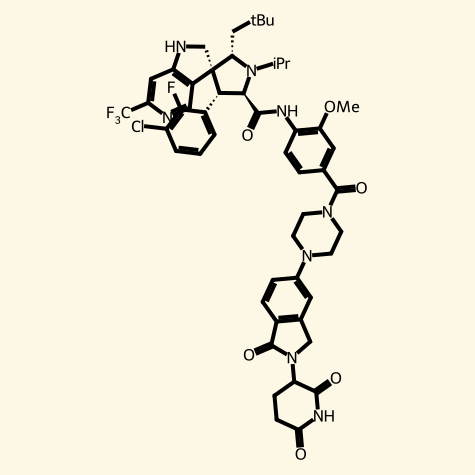 COc1cc(C(=O)N2CCN(c3ccc4c(c3)CN(C3CCC(=O)NC3=O)C4=O)CC2)ccc1NC(=O)[C@H]1[C@H](c2cccc(Cl)c2F)[C@]2(CNc3cc(C(F)(F)F)ncc32)[C@H](CC(C)(C)C)N1C(C)C